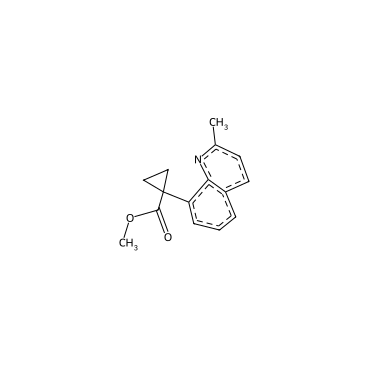 COC(=O)C1(c2cccc3ccc(C)nc23)CC1